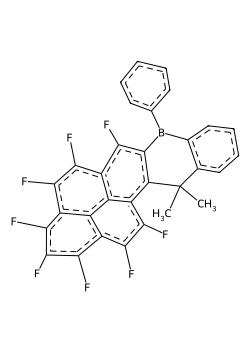 CC1(C)c2ccccc2B(c2ccccc2)c2c(F)c3c(F)c(F)c4c(F)c(F)c(F)c5c(F)c(F)c(c21)c3c45